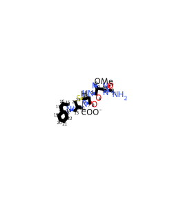 CON=C(C(=O)NC1C(=O)N2C(C(=O)[O-])=C(C[n+]3cccc4ccccc43)CS[C@@H]12)c1noc(N)n1